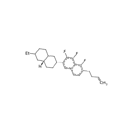 C=CCCc1ccc2cc([C@@H]3CC[C@@H]4CC(CC)CCC4C3)c(F)c(F)c2c1F